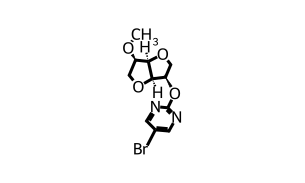 CO[C@@H]1CO[C@H]2[C@@H]1OC[C@H]2Oc1ncc(Br)cn1